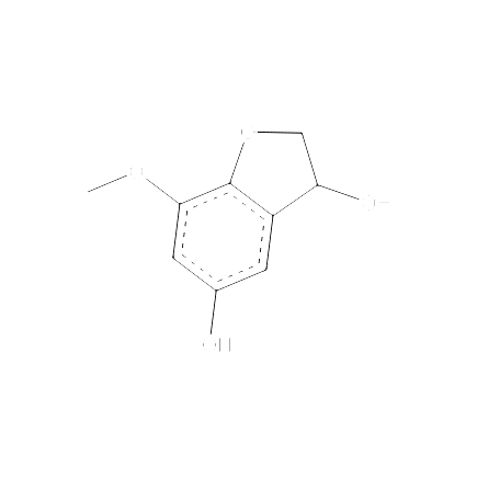 COc1cc(O)cc2c1OCC2O